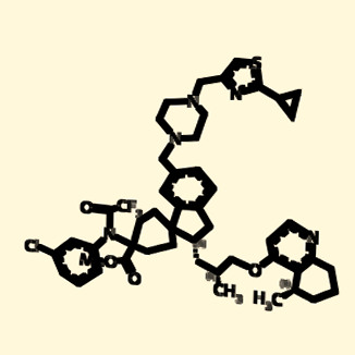 COC(=O)C1(N(C(=O)C(F)(F)F)c2cccc(Cl)c2)CCC2(CC1)c1cc(CN3CCN(Cc4csc(C5CC5)n4)CC3)ccc1C[C@@H]2C[C@@H](C)COc1ccnc2c1[C@H](C)CCC2